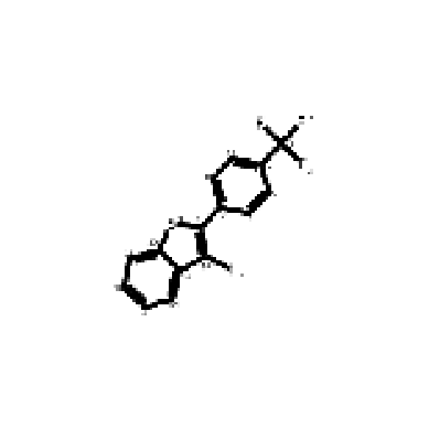 FC(F)(F)c1ccc(-c2sc3ccccc3c2I)cc1